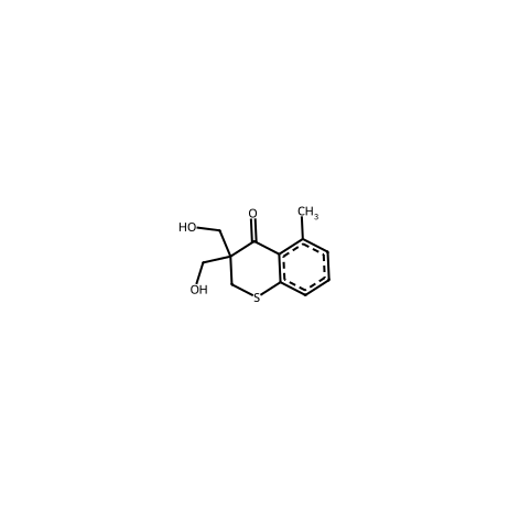 Cc1cccc2c1C(=O)C(CO)(CO)CS2